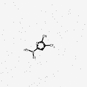 CCCN(CC)c1cc(C(F)(F)F)c(C#N)s1